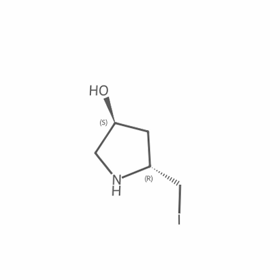 O[C@@H]1CN[C@@H](CI)C1